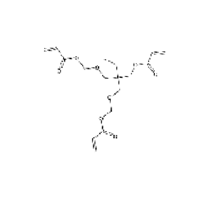 C=CC(=O)OCOCC(CC)(COCOC(=O)C=C)COC(=O)C=C